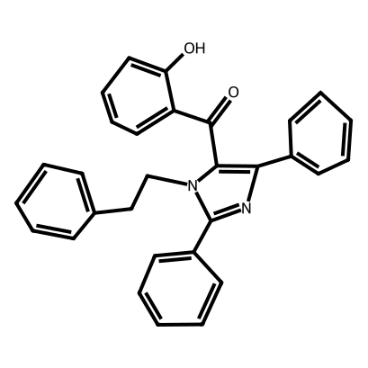 O=C(c1ccccc1O)c1c(-c2ccccc2)nc(-c2ccccc2)n1CCc1ccccc1